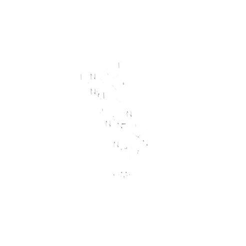 COC1CC(C(=O)N2CCC(N3CCOc4c(Cl)c(-c5ccc(F)c6sc(N)c(C#N)c56)c(F)c5nc(OC[C@@]67CCCN6C[C@H](F)C7)nc3c45)C2)C1